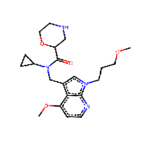 COCCCn1cc(CN(C(=O)C2CNCCO2)C2CC2)c2c(OC)ccnc21